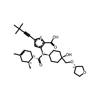 CC1=CC[C@H](C(=O)N(c2cc(C#CC(C)(C)C)sc2C(=O)O)[C@H]2CC[C@](O)(CO[C@H]3CCOC3)CC2)[C@@H](C)C1